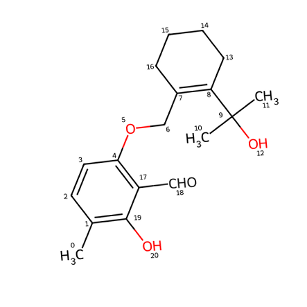 Cc1ccc(OCC2=C(C(C)(C)O)CCCC2)c(C=O)c1O